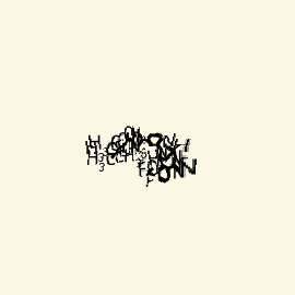 CC(C)(O[Si](C)(C)C(C)(C)C)c1ncc(-c2ccc3nc4n(c3c2)[C@@H]2C[C@H]4n3cnnc3-c3cccc(OC(F)F)c32)cn1